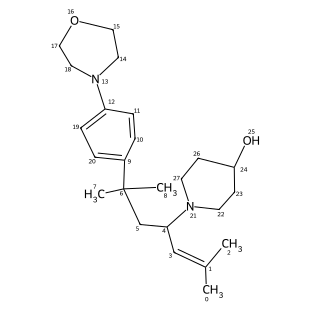 CC(C)=CC(CC(C)(C)c1ccc(N2CCOCC2)cc1)N1CCC(O)CC1